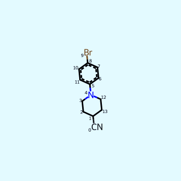 N#CC1CCN(c2ccc(Br)cc2)CC1